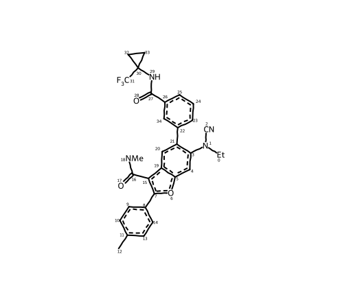 CCN(C#N)c1cc2oc(-c3ccc(C)cc3)c(C(=O)NC)c2cc1-c1cccc(C(=O)NC2(C(F)(F)F)CC2)c1